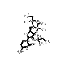 CC[Si](C)(C)OCC1OC(n2ccc(N)nc2=O)C(O[Si](C)(C)CC)C1O[Si](C)(C)CC